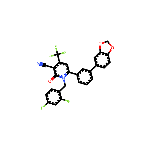 N#Cc1c(C(F)(F)F)cc(-c2cccc(-c3ccc4c(c3)OCO4)c2)n(Cc2ccc(F)cc2F)c1=O